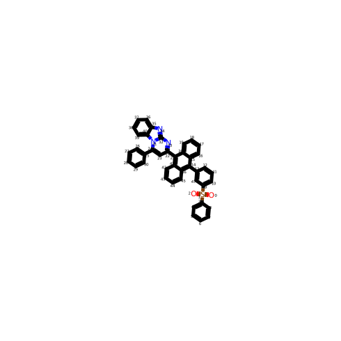 O=S(=O)(c1ccccc1)c1cccc(-c2c3ccccc3c(-c3cc(-c4ccccc4)n4c(n3)nc3ccccc34)c3ccccc23)c1